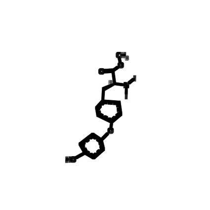 COC(=O)[C@H](Cc1ccc(Oc2ccc(O)cc2)cc1)N(I)I